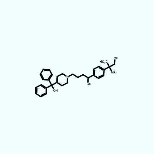 CCCCC(CO)(C(=O)O)c1ccc(C(O)CCCN2CCC(C(O)(c3ccccc3)c3ccccc3)CC2)cc1